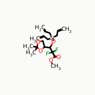 C=CC[Si](CC=C)(CC=C)OC(C1COC(C)(C)O1)C(F)(F)C(=O)OC